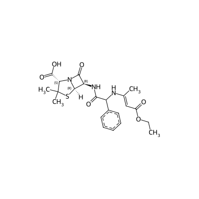 CCOC(=O)C=C(C)NC(C(=O)N[C@@H]1C(=O)N2[C@@H]1SC(C)(C)[C@@H]2C(=O)O)c1ccccc1